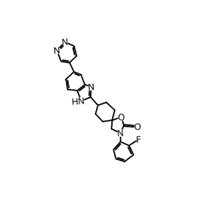 O=C1OC2(CCC(c3nc4cc(-c5ccnnc5)ccc4[nH]3)CC2)CN1c1ccccc1F